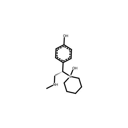 CNC[C@H](c1ccc(O)cc1)[Si]1(O)CCCCC1